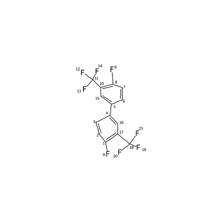 Fc1ccc(-c2ccc(F)c(C(F)(F)F)c2)cc1C(F)(F)F